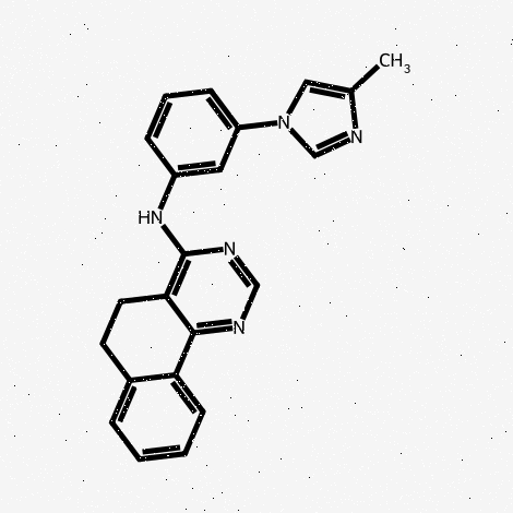 Cc1cn(-c2cccc(Nc3ncnc4c3CCc3ccccc3-4)c2)cn1